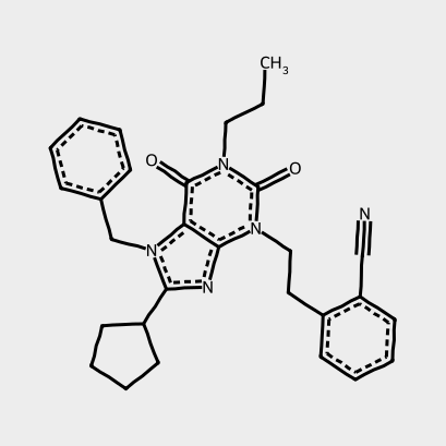 CCCn1c(=O)c2c(nc(C3CCCC3)n2Cc2ccccc2)n(CCc2ccccc2C#N)c1=O